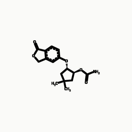 CC1(C)C[C@H](OC(N)=O)[C@@H](Oc2ccc3c(c2)COC3=O)C1